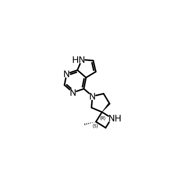 C[C@H]1CN[C@]12CCN(c1ncnc3[nH]ccc13)C2